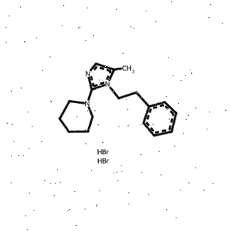 Br.Br.Cc1cnc(N2CC[CH]CC2)n1CCc1ccccc1